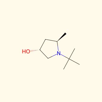 C[C@@H]1C[C@@H](O)CN1C(C)(C)C